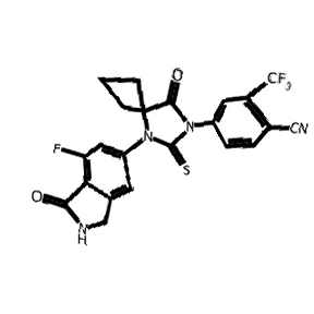 N#Cc1ccc(N2C(=O)C3(CCC3)N(c3cc(F)c4c(c3)CNC4=O)C2=S)cc1C(F)(F)F